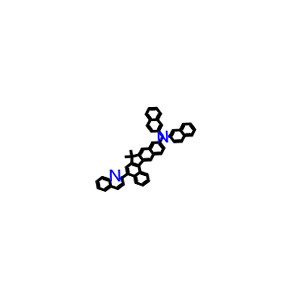 CC1(C)c2cc3cc(N(c4ccc5ccccc5c4)c4ccc5ccccc5c4)ccc3cc2-c2c1cc(-c1ccc3ccccc3n1)c1ccccc21